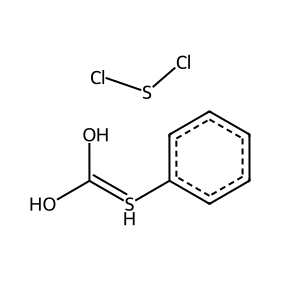 ClSCl.OC(O)=[SH]c1ccccc1